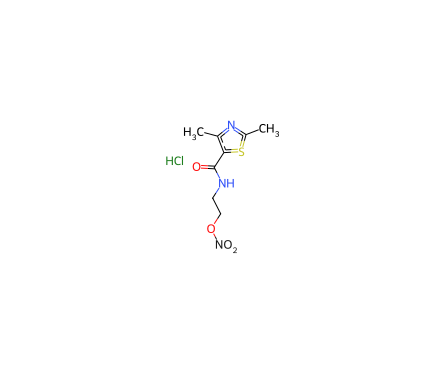 Cc1nc(C)c(C(=O)NCCO[N+](=O)[O-])s1.Cl